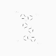 COc1ccc2c(c1)c1cc(OC)ccc1n2-c1ccc(C(F)(F)F)c(-c2cc(-n3c4ccc(OC)cc4c4cc(OC)ccc43)ccc2C(F)(F)F)c1